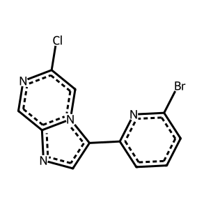 Clc1cn2c(-c3cccc(Br)n3)cnc2cn1